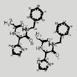 CC(=O)NC(C(=O)NCc1ccccc1)c1ncco1.CC(=O)NC(C(=O)NCc1ccccc1)c1nccs1